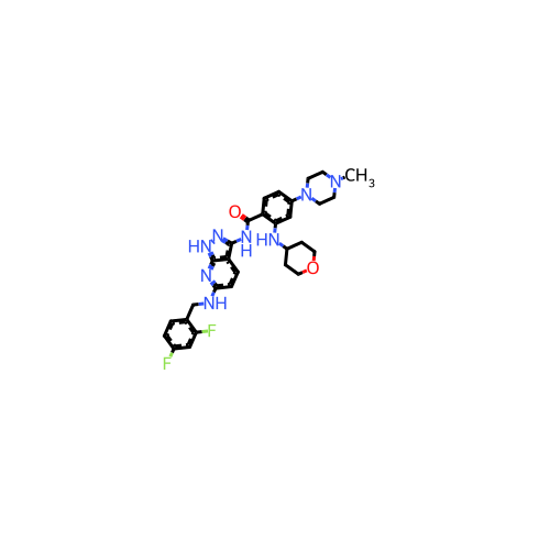 CN1CCN(c2ccc(C(=O)Nc3n[nH]c4nc(NCc5ccc(F)cc5F)ccc34)c(NC3CCOCC3)c2)CC1